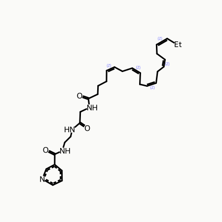 CC/C=C\C/C=C\C/C=C\C/C=C\C/C=C\CCCC(=O)NCC(=O)NCCNC(=O)c1cccnc1